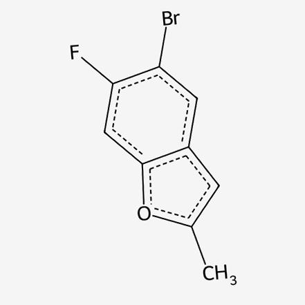 Cc1cc2cc(Br)c(F)cc2o1